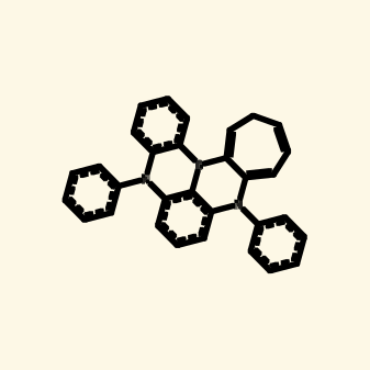 C1=CCC=C2B3c4ccccc4N(c4ccccc4)c4cccc(c43)N(c3ccccc3)C2=C1